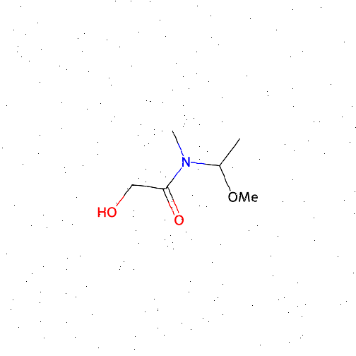 COC(C)N(C)C(=O)CO